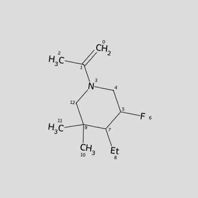 C=C(C)N1CC(F)C(CC)C(C)(C)C1